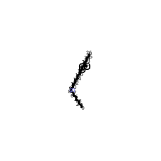 CCCCCCCC/C=C\CCCCCCCCOOC(=O)CCCCC